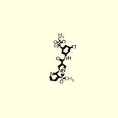 CS(=O)(=O)Nc1cc(Cl)cc(NC(=O)c2cnn(-c3ncccc3S(C)(=O)=O)c2)c1